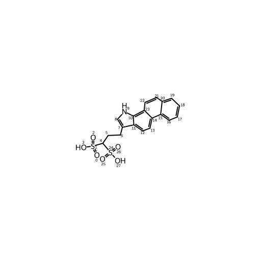 O=S(=O)(O)C(CCc1c[nH]c2c1ccc1c3ccccc3ccc12)S(=O)(=O)O